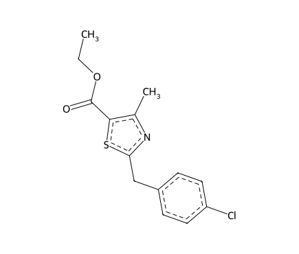 CCOC(=O)c1sc(Cc2ccc(Cl)cc2)nc1C